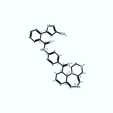 Cc1csc(-c2ccccc2C(=O)Nc2ccc(C(=O)C3CC=CC4=CNC=C5COCCN5C43)cc2)c1